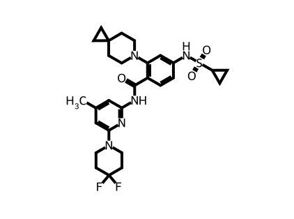 Cc1cc(NC(=O)c2ccc(NS(=O)(=O)C3CC3)cc2N2CCC3(CC2)CC3)nc(N2CCC(F)(F)CC2)c1